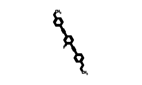 CCCc1ccc(C#Cc2ccc(C#Cc3ccc(CC)cc3)cc2F)cc1